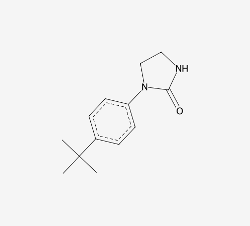 CC(C)(C)c1ccc(N2CCNC2=O)cc1